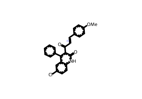 COc1ccc(/C=C/C(=O)c2c(-c3ccccc3)c3cc(Cl)ccc3[nH]c2=O)cc1